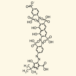 CC(C)(C)n1nc(C(=O)O)c(/N=N/c2ccc(/N=N/c3c(S(=O)(=O)O)cc4cc(S(=O)(=O)O)c(/N=N/c5ccc([N+](=O)[O-])cc5S(=O)(=O)O)c(O)c4c3O)c(S(=O)(=O)O)c2)c1O